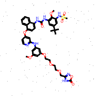 COc1cc(Nc2cc(Oc3ccc(NC(=O)Nc4cc(C(C)(C)C)cc(NS(C)(=O)=O)c4OC)c4ccccc34)ccn2)cc(OCCOCCOCc2noc(=O)[nH]2)c1